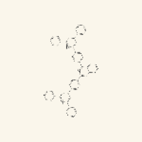 c1ccc(-c2cc(-c3ccccc3)nc(-c3ccc(-c4nc(-c5ccc(-c6cc(-c7ccccc7)nc(-c7ccccc7)c6)cc5)cc5ccccc45)cc3)c2)cc1